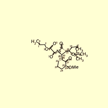 C=CCOC(=O)C(=O)N1C(=O)[C@H]([C@@H](CF)O[Si](C)(C)C)[C@H]1[C@H]1CCC[C@H](OC)C1=O